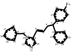 Fc1ccc(C(CC=Cc2cncn2Cc2ccccc2)c2ccccc2)cc1